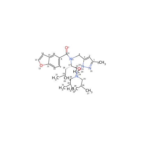 Cc1cc(CN(C(=O)c2ccc3occc3c2)[C@@H](CC(C)C)C(=O)N(CC(C)C)CC(C)C)n(C)n1